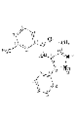 Cc1cccc(C(=O)Nc2c(C)n[nH]c2-c2ccccc2)c1